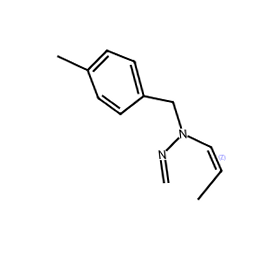 C=NN(/C=C\C)Cc1ccc(C)cc1